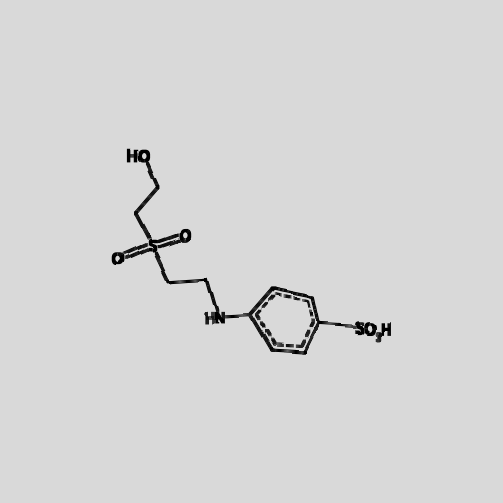 O=S(=O)(CCO)CCNc1ccc(S(=O)(=O)O)cc1